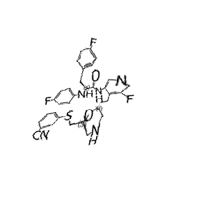 N#Cc1cccc(SC[C@@H]2CNC[C@@H](CCc3c(F)cncc3NC(=O)[C@H](Cc3ccc(F)cc3)Nc3ccc(F)cc3)O2)c1